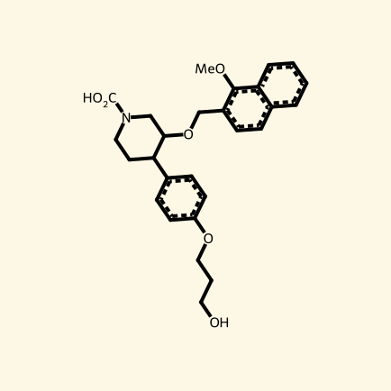 COc1c(COC2CN(C(=O)O)CCC2c2ccc(OCCCO)cc2)ccc2ccccc12